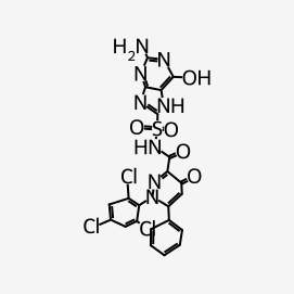 Nc1nc(O)c2[nH]c(S(=O)(=O)NC(=O)c3nn(-c4c(Cl)cc(Cl)cc4Cl)c(-c4ccccc4)cc3=O)nc2n1